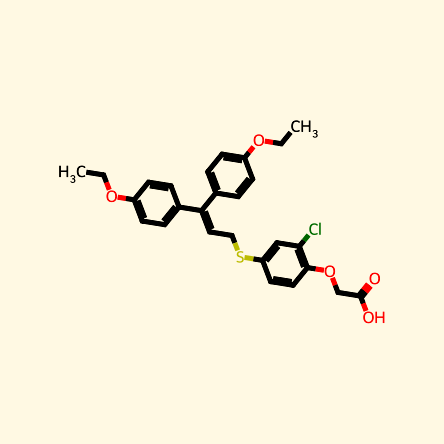 CCOc1ccc(C(=CCSc2ccc(OCC(=O)O)c(Cl)c2)c2ccc(OCC)cc2)cc1